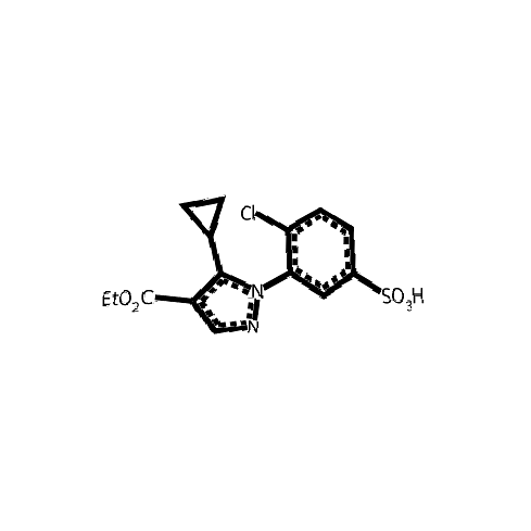 CCOC(=O)c1cnn(-c2cc(S(=O)(=O)O)ccc2Cl)c1C1CC1